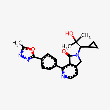 Cc1nnc(-c2ccc(-c3nccc4c3C(=O)N([C@H](C3CC3)C(C)(C)O)C4)cc2)o1